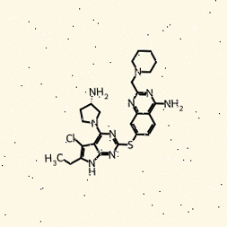 CCc1[nH]c2nc(Sc3ccc4c(N)nc(CN5CCCCC5)nc4c3)nc(N3CC[C@H](N)C3)c2c1Cl